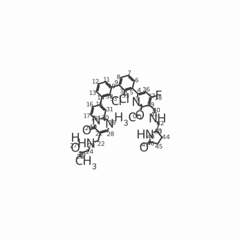 COc1nc(-c2cccc(-c3cccc(-c4ccn5c(=O)c(CNC[C@@H](C)O)cnc5c4)c3Cl)c2Cl)cc(F)c1CNC[C@H]1CCC(=O)N1